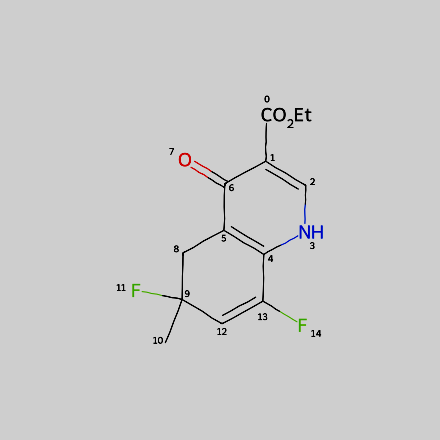 CCOC(=O)c1c[nH]c2c(c1=O)CC(C)(F)C=C2F